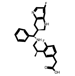 C[C@@H](CN[C@H](c1ccccc1)[C@@H]1CNc2cc(F)cnc2C1)c1cc(CC(=O)O)ccc1F